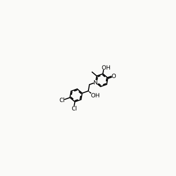 Cc1c(O)c(=O)ccn1C[C@@H](O)c1ccc(Cl)c(Cl)c1